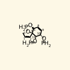 C/C=C\[C@]1(OP)C(=O)C=C[C@H](OP)[C@H]1OP